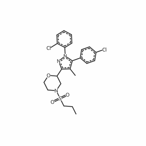 CCCS(=O)(=O)N1CCOC(c2nn(-c3ccccc3Cl)c(-c3ccc(Cl)cc3)c2C)C1